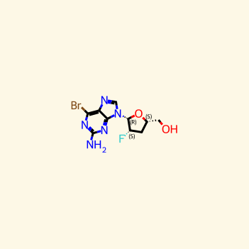 Nc1nc(Br)c2ncn([C@@H]3O[C@H](CO)C[C@@H]3F)c2n1